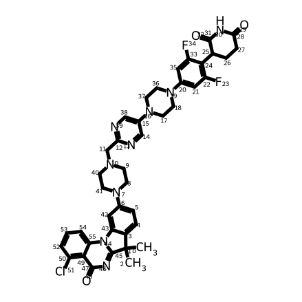 CC1(C)c2ccc(N3CCN(Cc4ncc(N5CCN(c6cc(F)c(C7CCC(=O)NC7=O)c(F)c6)CC5)cn4)CC3)cc2-n2c1nc(=O)c1c(Cl)cccc12